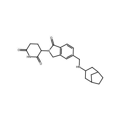 O=C1CCC(N2Cc3cc(CNC4CC5CCC(C5)C4)ccc3C2=O)C(=O)N1